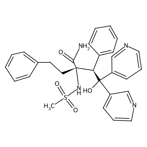 CS(=O)(=O)N[C@](CCc1ccccc1)(C(N)=O)[C@@H](c1ccccc1)C(O)(c1cccnc1)c1cccnc1